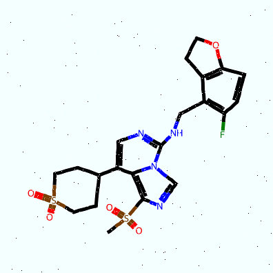 CS(=O)(=O)c1ncn2c(NCc3c(F)ccc4c3CCO4)ncc(C3CCS(=O)(=O)CC3)c12